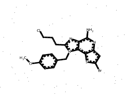 COc1ccc(Cn2c(CCCCl)nc3c(N)nc4cc(Br)sc4c32)cc1